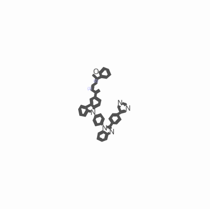 C=C(/C=C\C=C1/COc2ccccc21)c1ccc2c(c1)c1ccccc1n2-c1ccc(-n2c(-c3ccc(-c4cncnc4)cc3)nc3ccccc32)cc1